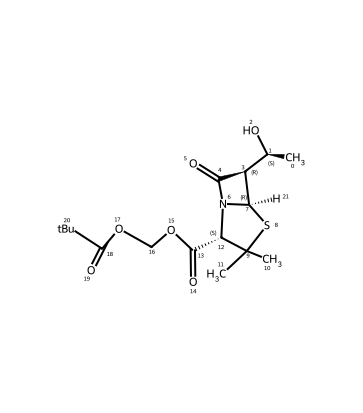 C[C@H](O)[C@@H]1C(=O)N2[C@@H]1SC(C)(C)[C@@H]2C(=O)OCOC(=O)C(C)(C)C